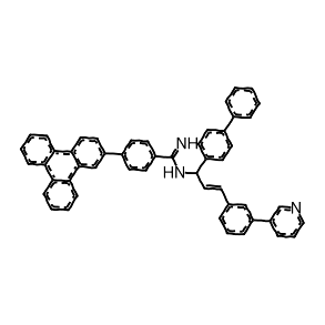 N=C(NC(/C=C/c1cccc(-c2cccnc2)c1)c1ccc(-c2ccccc2)cc1)c1ccc(-c2ccc3c4ccccc4c4ccccc4c3c2)cc1